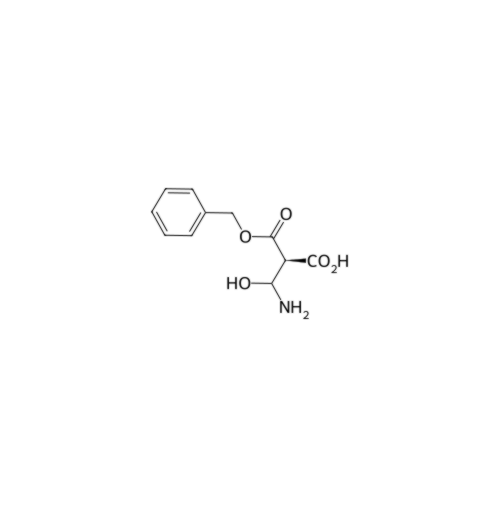 NC(O)[C@H](C(=O)O)C(=O)OCc1ccccc1